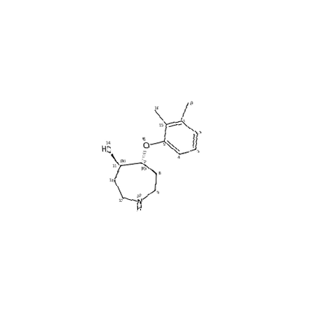 Cc1cccc(O[C@@H]2CCNCC[C@H]2O)c1C